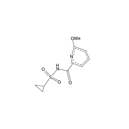 COc1cccc(C(=O)NS(=O)(=O)C2CC2)n1